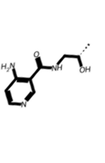 C[C@H](O)CNC(=O)c1cnccc1N